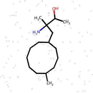 CC1CCCCCC(CC(C)(N)C(C)O)CCC1